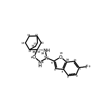 Fc1ccc2cc(N3NO[C@@]4(CC5CCC4CC5)N3)oc2c1